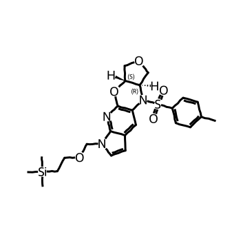 Cc1ccc(S(=O)(=O)N2c3cc4ccn(COCC[Si](C)(C)C)c4nc3O[C@@H]3COC[C@H]32)cc1